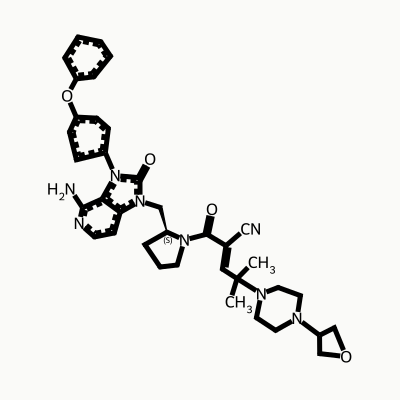 CC(C)(C=C(C#N)C(=O)N1CCC[C@H]1Cn1c(=O)n(-c2ccc(Oc3ccccc3)cc2)c2c(N)nccc21)N1CCN(C2COC2)CC1